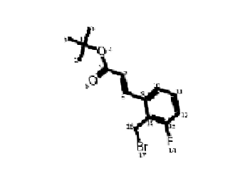 CC(C)(C)OC(=O)/C=C/c1cccc(F)c1CBr